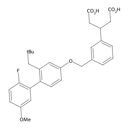 COc1ccc(F)c(-c2ccc(OCc3cccc(C(CC(=O)O)CC(=O)O)c3)cc2CC(C)(C)C)c1